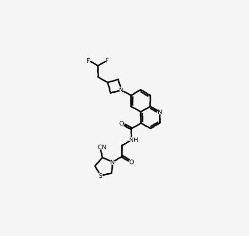 N#CC1CSCN1C(=O)CNC(=O)c1ccnc2ccc(N3CC(CC(F)F)C3)cc12